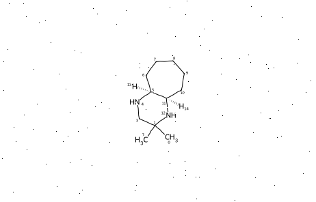 CC1(C)CN[C@H]2CCCCC[C@H]2N1